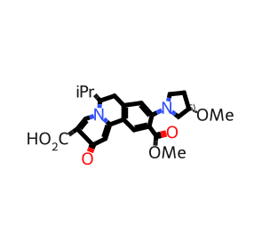 COC(=O)c1cc2c(cc1N1CC[C@H](OC)C1)CC(C(C)C)n1cc(C(=O)O)c(=O)cc1-2